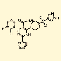 COC(=O)C1=C(C2CCN(S(=O)(=O)c3cn[nH]c3)CC2)NC(c2nccs2)=N[C@@H]1c1cccc(F)c1Cl